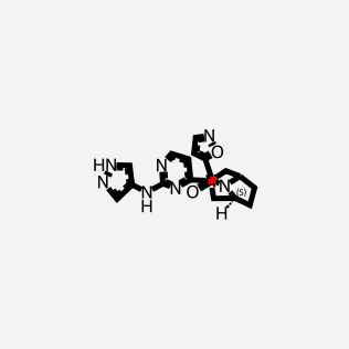 O=C(c1ccno1)N1C2CC[C@H]1CN(c1ccnc(Nc3cn[nH]c3)n1)C2